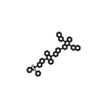 c1ccc(-n2c(-c3ccc4cc(-c5c6ccccc6c(-c6ccc7cc(-c8ccc9c(-c%10ccc%11ccccc%11c%10)c%10ccccc%10c(-c%10ccc%11ccccc%11c%10)c9c8)ccc7c6)c6ccccc56)ccc4c3)nc3ccccc32)cc1